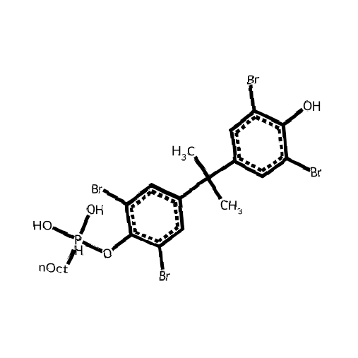 CCCCCCCC[PH](O)(O)Oc1c(Br)cc(C(C)(C)c2cc(Br)c(O)c(Br)c2)cc1Br